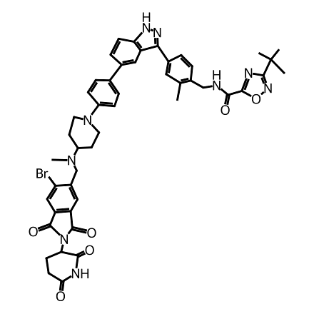 Cc1cc(-c2n[nH]c3ccc(-c4ccc(N5CCC(N(C)Cc6cc7c(cc6Br)C(=O)N(C6CCC(=O)NC6=O)C7=O)CC5)cc4)cc23)ccc1CNC(=O)c1nc(C(C)(C)C)no1